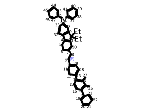 CCC1(CC)C2=C(CCC(/C=C/c3ccc(-c4ccc(-c5ccccc5)c(C)c4C)cc3)=C2)c2ccc(N(c3ccccc3)c3ccccc3)cc21